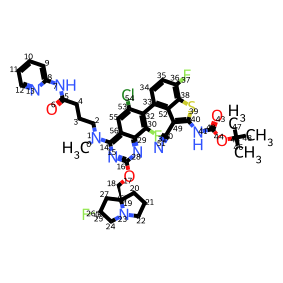 CN(CCCC(=O)Nc1ccccn1)c1nc(OC[C@@]23CCCN2C[C@H](F)C3)nc2c(F)c(-c3ccc(F)c4sc(NC(=O)OC(C)(C)C)c(C#N)c34)c(Cl)cc12